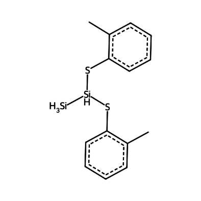 Cc1ccccc1S[SiH]([SiH3])Sc1ccccc1C